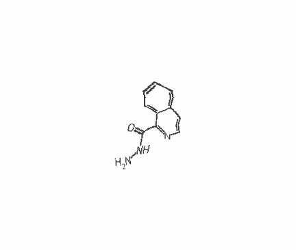 NNC(=O)c1nccc2ccccc12